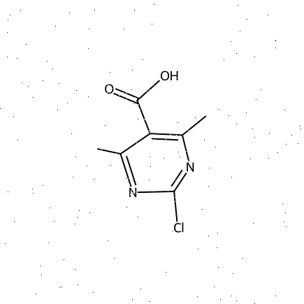 Cc1nc(Cl)nc(C)c1C(=O)O